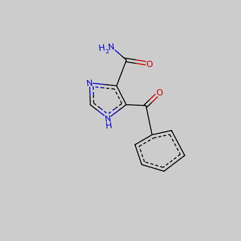 NC(=O)c1nc[nH]c1C(=O)c1ccccc1